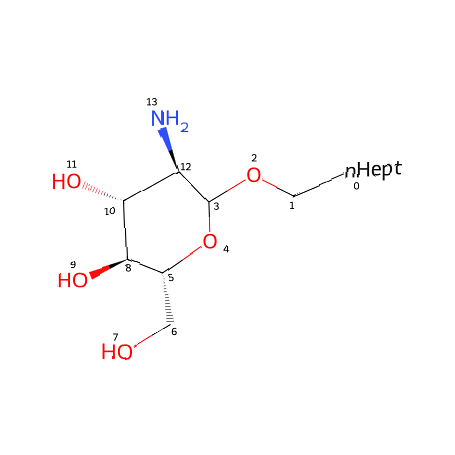 CCCCCCCCOC1O[C@H](CO)[C@@H](O)[C@H](O)[C@H]1N